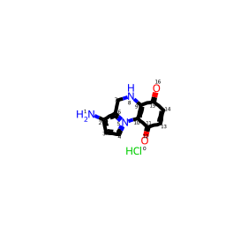 Cl.Nc1ccn2c1CNC1=C2C(=O)C=CC1=O